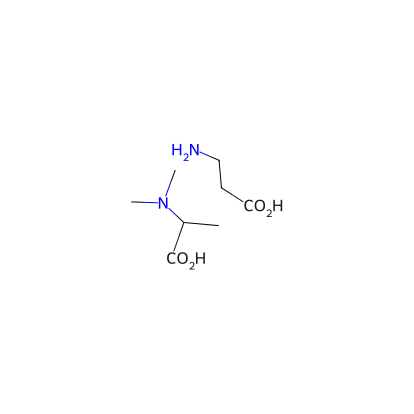 CC(C(=O)O)N(C)C.NCCC(=O)O